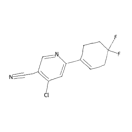 N#Cc1cnc(C2=CCC(F)(F)CC2)cc1Cl